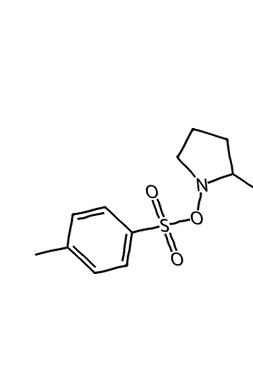 Cc1ccc(S(=O)(=O)ON2CCCC2C)cc1